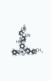 Cn1cc(-c2ccc(N(C(=O)NCc3ccccc3)[C@H]3CC[C@H](Nc4ncc(C#N)c(N5CCC(OC(F)F)C5)n4)CC3)nc2)cn1